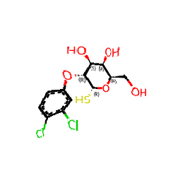 OC[C@H]1O[C@H](S)[C@H](Oc2ccc(Cl)c(Cl)c2)[C@@H](O)[C@H]1O